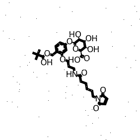 CC(C)(C)C(O)OCc1ccc(O[C@@H]2O[C@H](C(=O)O)[C@@H](O)[C@H](O)[C@H]2O)cc1OCCCNC(=O)CCCCCN1C(=O)C=CC1=O